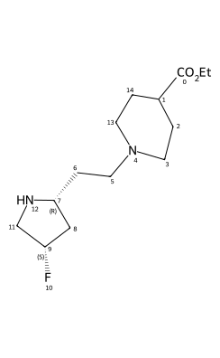 CCOC(=O)C1CCN(CC[C@@H]2C[C@H](F)CN2)CC1